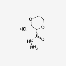 Cl.NNC(=O)[C@H]1COCCO1